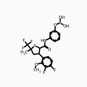 COc1c(C2CC(C)(C(F)(F)F)SC2C(=O)Nc2cccc(OB(O)O)c2)ccc(F)c1F